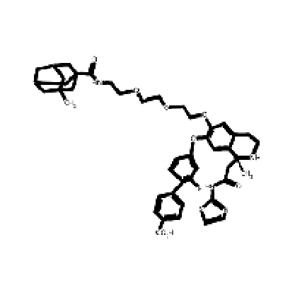 CC12CC3CC(C1)CC(C(=O)NCCOCCOCCOc1cc4c(cc1Oc1ccc(-c5ccc(C(=O)O)cc5)c(F)c1)[C@@](C)(CC(=O)Nc1nccs1)NCC4)(C3)C2